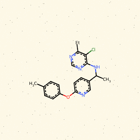 CCc1ncnc(NC(C)c2ccc(Oc3ccc(C)cc3)nc2)c1Cl